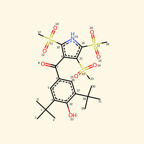 CC(C)(C)c1cc(C(=O)c2c(S(C)(=O)=O)[nH]c(S(C)(=O)=O)c2S(C)(=O)=O)cc(C(C)(C)C)c1O